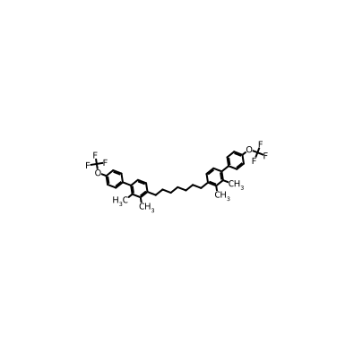 Cc1c(CCCCCCCc2ccc(-c3ccc(OC(F)(F)F)cc3)c(C)c2C)ccc(-c2ccc(OC(F)(F)F)cc2)c1C